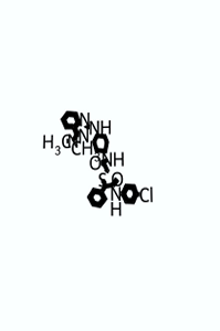 CN(C)c1nc(N[C@H]2CC[C@@H](NC(=O)CSC(C(=O)Nc3ccc(Cl)cc3)c3ccccc3)CC2)nc2ccccc12